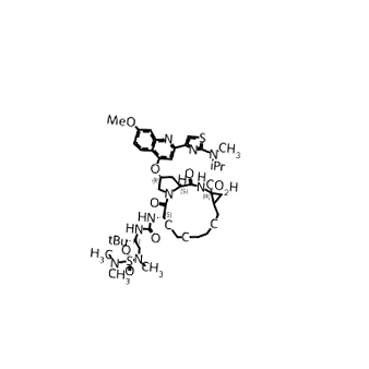 COc1ccc2c(O[C@@H]3C[C@H]4C(=O)N[C@]5(C(=O)O)CC5CCCCCCC[C@H](NC(=O)N[C@H](CN(C)S(=O)(=O)N(C)C)C(C)(C)C)C(=O)N4C3)cc(-c3csc(N(C)C(C)C)n3)nc2c1